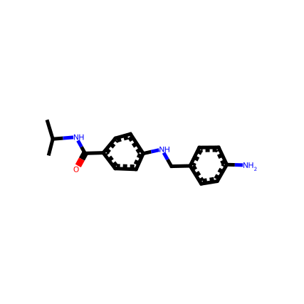 CC(C)NC(=O)c1ccc(NCc2ccc(N)cc2)cc1